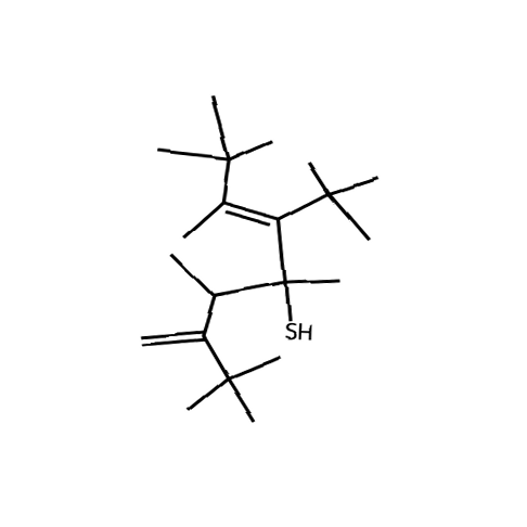 C=C(C(C)C(C)(S)/C(=C(\C)C(C)(C)C)C(C)(C)C)C(C)(C)C